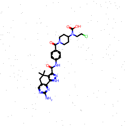 CC1(C)Cc2cnc(N)nc2-c2[nH]nc(C(=O)Nc3ccc(C(=O)N4CCC(N(CCCl)C(=O)O)CC4)cc3)c21